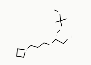 CSC(C)(C)OC[C@H](CO)NCCCN1CCC1